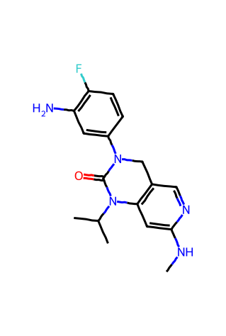 CNc1cc2c(cn1)CN(c1ccc(F)c(N)c1)C(=O)N2C(C)C